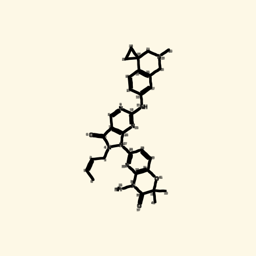 C/C=C\Cn1c(=O)c2cnc(Nc3ccc4c(c3)CN(C)CC43CC3)nc2n1-c1ccc2c(n1)N(CCC)C(=O)C(C)(C)O2